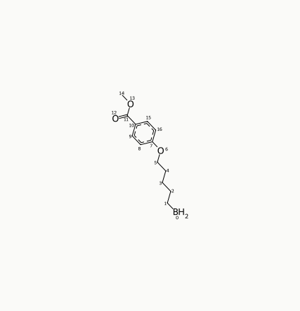 BCCCCCOc1ccc(C(=O)OC)cc1